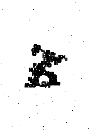 COc1cc2cc(c1Cl)N(C)C(=O)C[C@H](OC(O)[C@H](C)N(C)C(=O)c1ccc(NC(=O)[C@H](CCCNC(N)=O)NC(=O)[C@@H](NC(=O)CCCCC(=O)ON3C(=O)CCC3=O)C(C)C)cc1C(F)(F)F)[C@]1(C)O[C@H]1[C@H](C)[C@@H]1C[C@@](O)(NC(=O)O1)[C@H](OC)/C=C/C=C(\C)C2